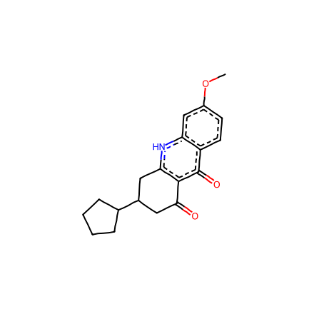 COc1ccc2c(=O)c3c([nH]c2c1)CC(C1CCCC1)CC3=O